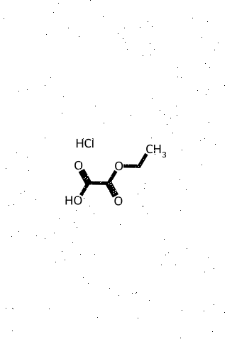 CCOC(=O)C(=O)O.Cl